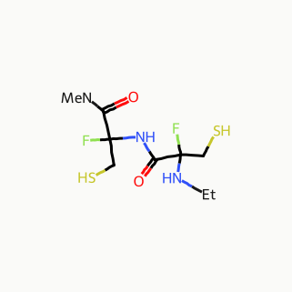 CCNC(F)(CS)C(=O)NC(F)(CS)C(=O)NC